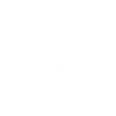 Cc1ccc(/C=C/S(=O)(=O)c2ccc(C)cc2)cc1